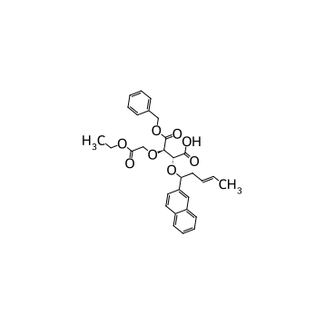 CC=CCC(O[C@@H](C(=O)O)[C@@H](OCC(=O)OCC)C(=O)OCc1ccccc1)c1ccc2ccccc2c1